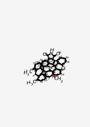 Cc1ccc2c(c1)N(C1(c3ccc4c(c3)C(=O)NC4=O)c3ccccc3Oc3ccccc31)c1ccccc1C21c2cccc(C)c2Cc2c(C)cccc21